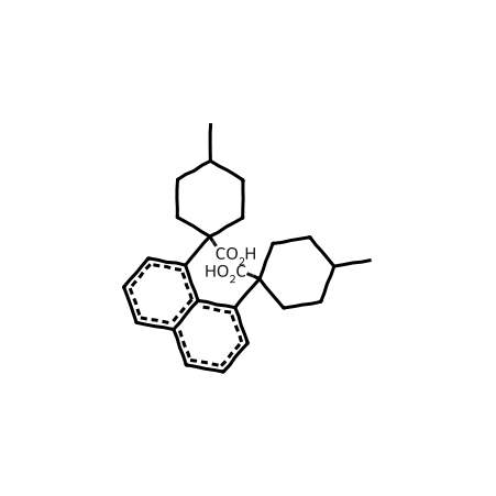 CC1CCC(C(=O)O)(c2cccc3cccc(C4(C(=O)O)CCC(C)CC4)c23)CC1